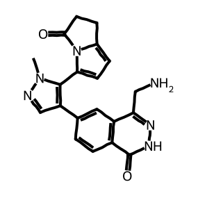 Cn1ncc(-c2ccc3c(=O)[nH]nc(CN)c3c2)c1-c1ccc2n1C(=O)CC2